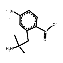 CC(C)(N)Cc1cc(Br)ccc1[N+](=O)[O-]